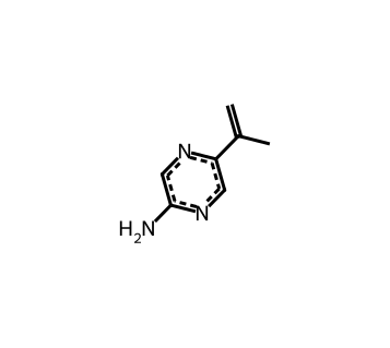 C=C(C)c1cnc(N)cn1